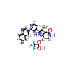 O=C(O)C(F)(F)F.O=C1NCCc2[nH]c(-c3ccnc(-c4cnc5ccccc5c4)c3)c(Br)c21